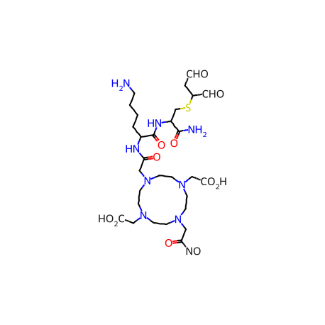 NCCCCC(NC(=O)CN1CCN(CC(=O)O)CCN(CC(=O)N=O)CCN(CC(=O)O)CC1)C(=O)NC(CSC(C=O)CC=O)C(N)=O